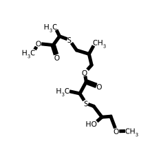 COCC(O)CSC(C)C(=O)OCC(C)CSC(C)C(=O)OC